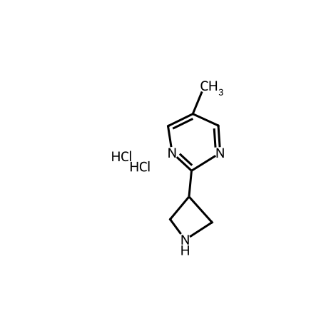 Cc1cnc(C2CNC2)nc1.Cl.Cl